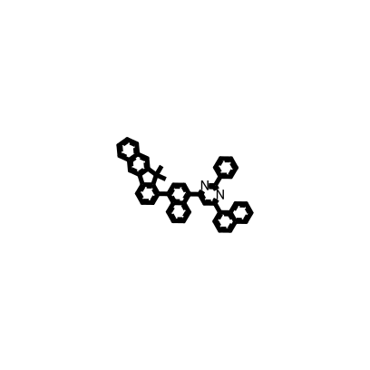 CC1(C)c2cc3ccccc3cc2-c2cccc(-c3ccc(-c4cc(-c5cccc6ccccc56)nc(-c5ccccc5)n4)c4ccccc34)c21